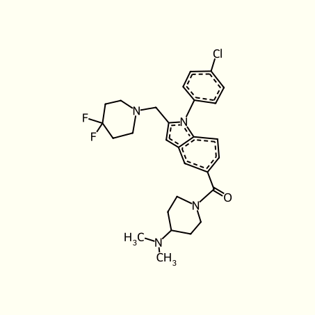 CN(C)C1CCN(C(=O)c2ccc3c(c2)cc(CN2CCC(F)(F)CC2)n3-c2ccc(Cl)cc2)CC1